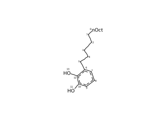 CCCCCCCCCCCCCc1cccc(O)c1O